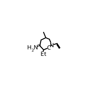 C=CN1CC(C)C[C@@H](N)C(CC)C1